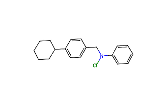 ClN(Cc1ccc(C2CCCCC2)cc1)c1ccccc1